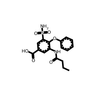 CCCC(=O)Nc1cc(C(=O)O)cc(S(N)(=O)=O)c1Oc1ccccc1